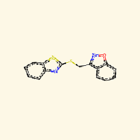 c1ccc2sc(SCc3noc4ccccc34)nc2c1